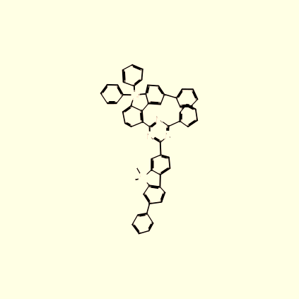 C[Si]1(C)c2cc(-c3ccccc3)ccc2-c2ccc(-c3nc(-c4ccccc4)nc(-c4cccc5c4-c4cc(-c6ccccc6)ccc4[Si]5(c4ccccc4)c4ccccc4)n3)cc21